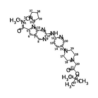 CN(C)C(=O)c1cc2cnc(Nc3ccc(N4CCN(CC(=O)OC(C)(C)C)CC4)cn3)nc2n1C1CCCC1